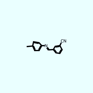 Cc1ccc(N=Cc2cccc(C#N)c2)cc1